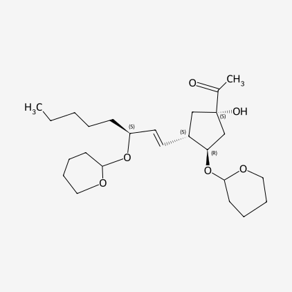 CCCCC[C@@H](C=C[C@@H]1C[C@@](O)(C(C)=O)C[C@H]1OC1CCCCO1)OC1CCCCO1